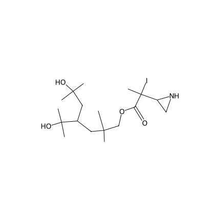 CC(C)(O)CC(CC(C)(C)COC(=O)C(C)(I)C1CN1)C(C)(C)O